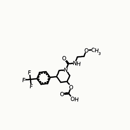 COCCNC(=O)N1CC(OC(=O)O)CC(c2ccc(C(F)(F)F)cc2)C1